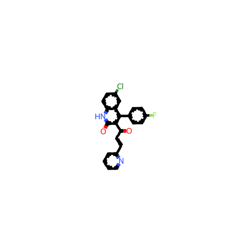 O=C(C=Cc1ccccn1)c1c(-c2ccc(F)cc2)c2cc(Cl)ccc2[nH]c1=O